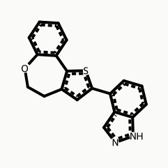 c1ccc2c(c1)OCCc1cc(-c3cccc4[nH]ncc34)sc1-2